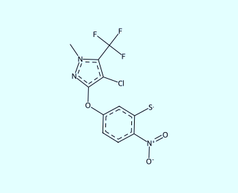 Cn1nc(Oc2ccc([N+](=O)[O-])c([S])c2)c(Cl)c1C(F)(F)F